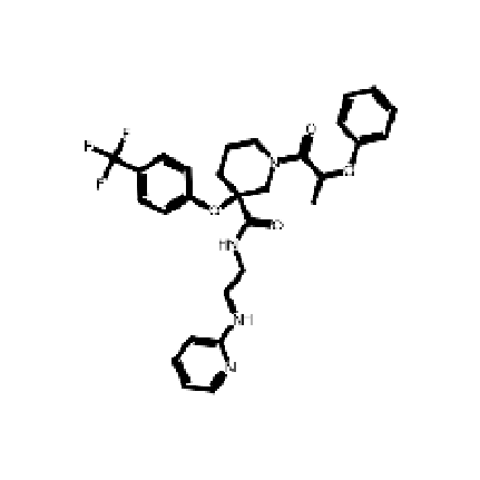 CC(Oc1ccccc1)C(=O)N1CCCC(Oc2ccc(C(F)(F)F)cc2)(C(=O)NCCNc2ccccn2)C1